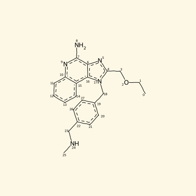 CCOCc1nc2c(N)nc3ccccc3c2n1Cc1ccc(CNC)cc1